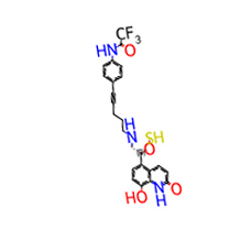 O=C(Nc1ccc(C#CCCCNC[C@H](OS)c2ccc(O)c3[nH]c(=O)ccc23)cc1)C(F)(F)F